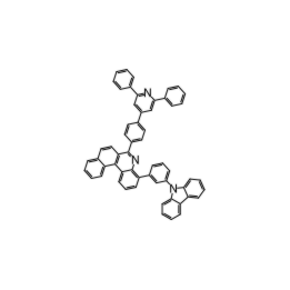 c1ccc(-c2cc(-c3ccc(-c4nc5c(-c6cccc(-n7c8ccccc8c8ccccc87)c6)cccc5c5c4ccc4ccccc45)cc3)cc(-c3ccccc3)n2)cc1